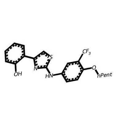 CCCCCOc1ccc(Nc2nc(-c3ccccc3O)cs2)cc1C(F)(F)F